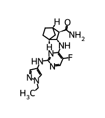 CCn1cc(Nc2ncc(F)c(N[C@H]3[C@@H]4CC[C@@H](C4)[C@H]3C(N)=O)n2)cn1